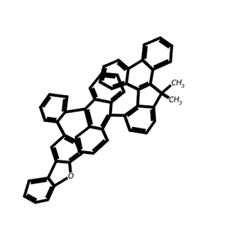 CC1(C)c2cccc(-c3c4ccccc4c(-c4ccccc4-c4ccc5oc6ccccc6c5c4)c4ccccc34)c2-c2c1c1ccccc1c1ccccc21